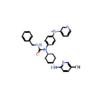 N#Cc1ccc(N[C@H]2CC[C@H](N(C(=O)NCc3ccccc3)c3ccc(Nc4cccnc4)cc3)CC2)nc1